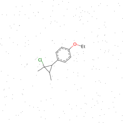 CCOc1ccc(C2C(C)C2(C)Cl)cc1